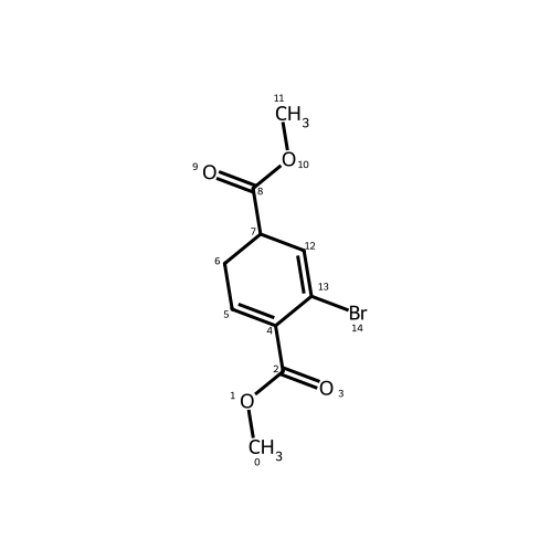 COC(=O)C1=CCC(C(=O)OC)C=C1Br